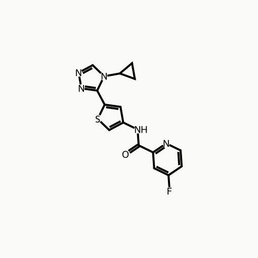 O=C(Nc1csc(-c2nncn2C2CC2)c1)c1cc(F)ccn1